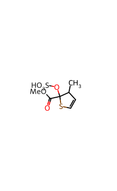 COC(=O)C1(OS(=O)(=O)O)SC=CC1C